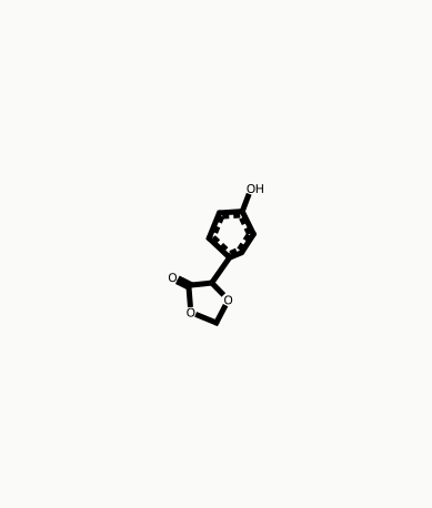 O=C1OCOC1c1ccc(O)cc1